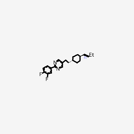 CC/C=C/[C@H]1CC[C@H](CCc2cnc(-c3ccc(F)c(F)c3)nc2)CC1